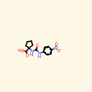 O=C(Nc1ccc([N+](=O)[O-])cc1)NC1(C(=O)O)CCCC1